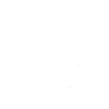 COC(=O)c1cc(Br)c2sccc2c1